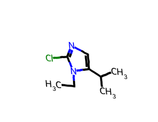 CCn1c(C(C)C)cnc1Cl